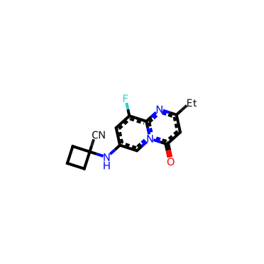 CCc1cc(=O)n2cc(NC3(C#N)CCC3)cc(F)c2n1